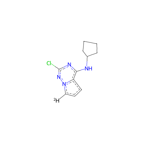 [2H]c1ccc2c(NC3CCCC3)nc(Cl)nn12